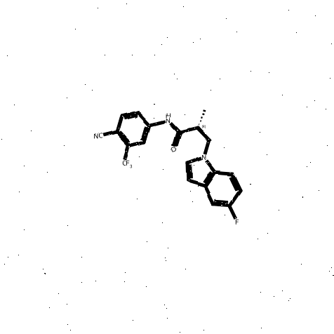 C[C@H](Cn1ccc2cc(F)ccc21)C(=O)Nc1ccc(C#N)c(C(F)(F)F)c1